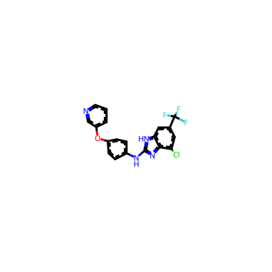 FC(F)(F)c1cc(Cl)c2nc(Nc3ccc(Oc4cccnc4)cc3)[nH]c2c1